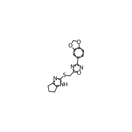 c1cc2c(cc1-c1noc(CSc3nc4c([nH]3)CCC4)n1)OCO2